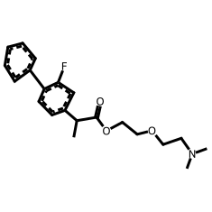 CC(C(=O)OCCOCCN(C)C)c1ccc(-c2ccccc2)c(F)c1